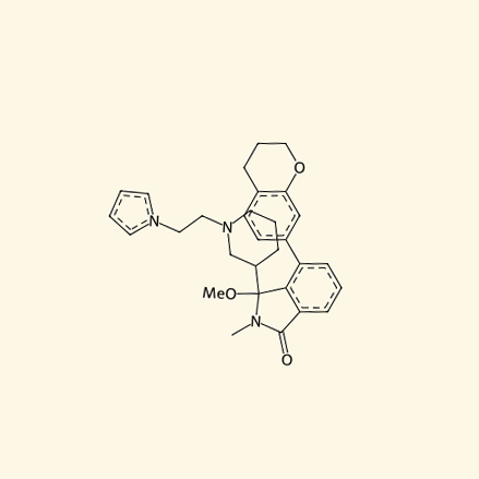 COC1(C2CCCN(CCn3cccc3)C2)c2c(cccc2-c2ccc3c(c2)OCCC3)C(=O)N1C